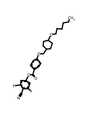 CCCCCCOC1CCC(COc2ccc(C(=O)Oc3cc(F)c(C#N)c(F)c3)cc2)CC1